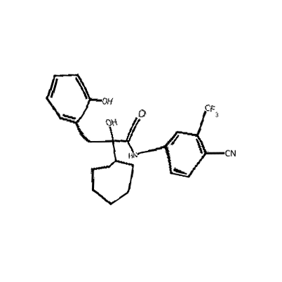 N#Cc1ccc(NC(=O)C(O)(Cc2ccccc2O)C2CCCCC2)cc1C(F)(F)F